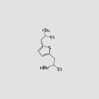 CCCCC(CC)Cc1ccc(CC(CC)CCCC)s1